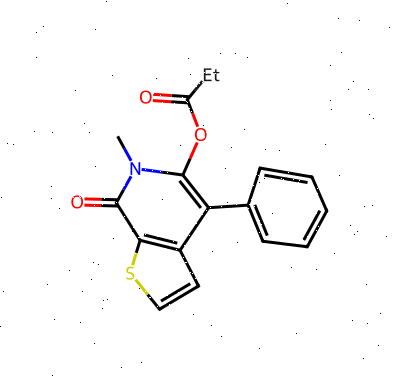 CCC(=O)Oc1c(-c2ccccc2)c2ccsc2c(=O)n1C